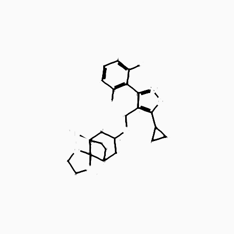 Clc1cccc(Cl)c1-c1noc(C2CC2)c1COC1CC2CC[C@@H](C1)C21OCCO1